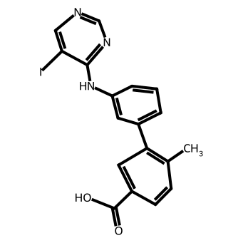 Cc1ccc(C(=O)O)cc1-c1cccc(Nc2ncncc2I)c1